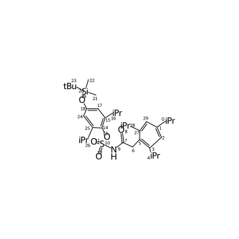 CC(C)c1cc(C(C)C)c(CC(=O)NS(=O)(=O)Oc2c(C(C)C)cc(O[Si](C)(C)C(C)(C)C)cc2C(C)C)c(C(C)C)c1